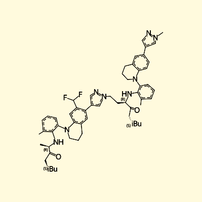 CC[C@H](C)CC(=O)[C@@H](C)Nc1c(C)cccc1N1CCCc2cc(-c3cnn(CC[C@@H](Nc4c(C)cccc4N4CCCc5cc(-c6cnn(C)c6)ccc54)C(=O)C[C@@H](C)CC)c3)c(C(F)F)cc21